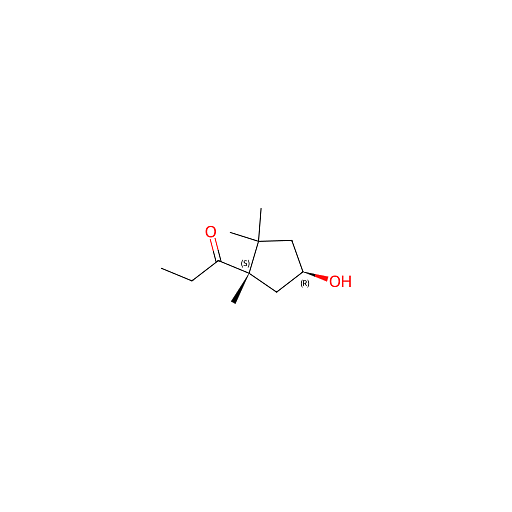 CCC(=O)[C@@]1(C)C[C@H](O)CC1(C)C